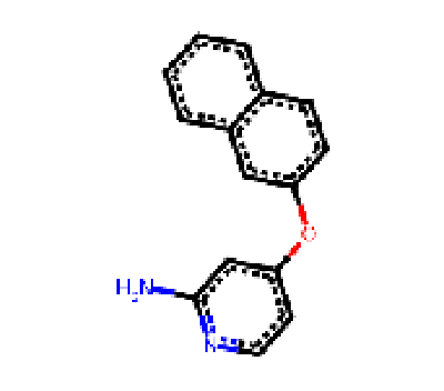 Nc1cc(Oc2ccc3ccccc3c2)ccn1